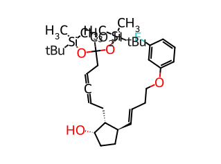 CC(C)(C)[Si](C)(C)OC(CC=C=CC[C@H]1[C@@H](O)CC[C@@H]1C=CCCOc1cccc(F)c1)(O[Si](C)(C)C(C)(C)C)C(=O)O